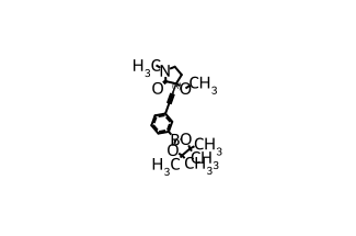 CO[C@@]1(C#Cc2cccc(B3OC(C)(C)C(C)(C)O3)c2)CCN(C)C1=O